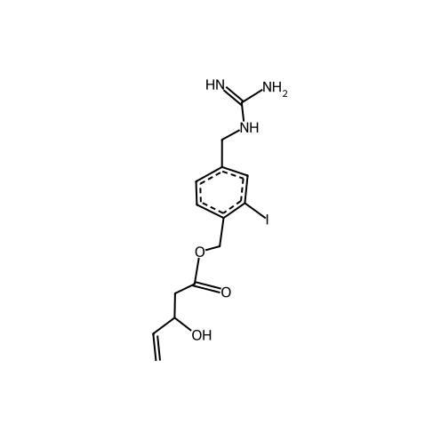 C=CC(O)CC(=O)OCc1ccc(CNC(=N)N)cc1I